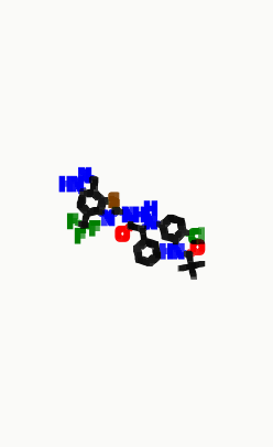 CC(C)(C)C(=O)Nc1cc(NC(C(=O)Nc2nc3c(C(F)(F)F)cc4[nH]ncc4c3s2)c2ccccc2)ccc1Cl